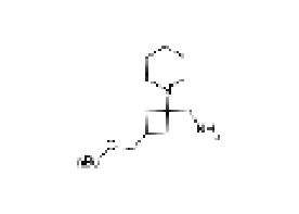 CCCCOCC1CC(CN)(N2CCCCC2)C1